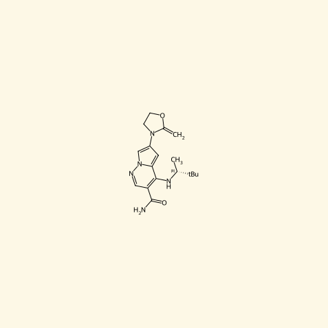 C=C1OCCN1c1cc2c(N[C@H](C)C(C)(C)C)c(C(N)=O)cnn2c1